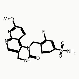 COc1ccc2c3c(cnc2n1)CNC(=O)N3Cc1ccc(S(N)(=O)=O)cc1F